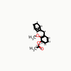 COc1c(CC2CC3=CCC2C3)cccc1OC(C)=O